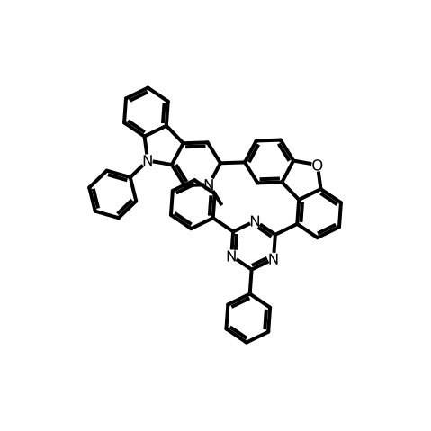 CN1C=c2c(c3ccccc3n2-c2ccccc2)=CC1c1ccc2oc3cccc(-c4nc(-c5ccccc5)nc(-c5ccccc5)n4)c3c2c1